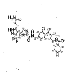 NC(=O)CCc1[nH]nc(C(F)(F)F)c1-c1cnc(C(=O)NCc2ccc(C(=O)N3CCN(C(=O)C4CCNCC4)CC3)c(Cl)c2)[nH]1